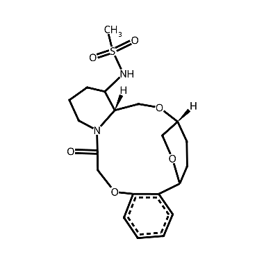 CS(=O)(=O)NC1CCCN2C(=O)COc3ccccc3C3CC[C@H](CO3)OC[C@@H]12